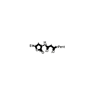 CCCCCC(=O)CC(=O)N[C@@H]1C[C@H](CC)OC1=O